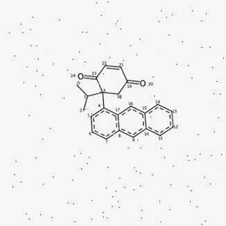 CC(C)C1(c2cccc3cc4ccccc4cc23)CC(=O)C=CC1=O